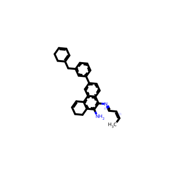 C/C=C\C=N\c1c(N)c2c(c3cc(-c4cccc(CC5=CC=CCC5)c4)ccc13)C=CCC2